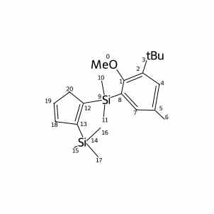 COc1c(C(C)(C)C)cc(C)cc1[Si](C)(C)C1=C([Si](C)(C)C)C=CC1